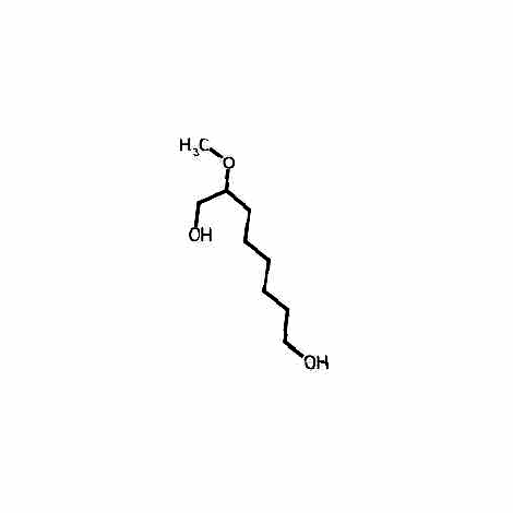 COC(CO)CCCCCCO